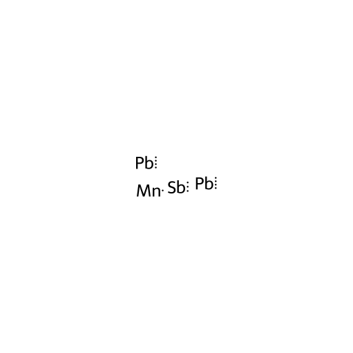 [Mn].[Pb].[Pb].[Sb]